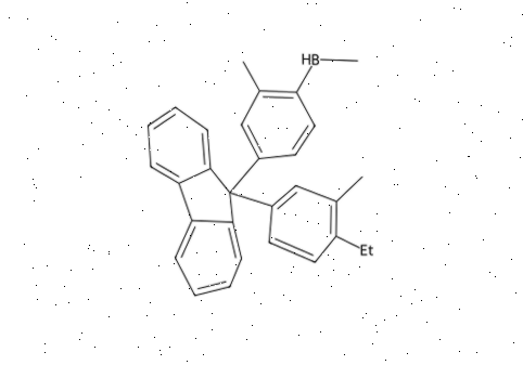 CBc1ccc(C2(c3ccc(CC)c(C)c3)c3ccccc3-c3ccccc32)cc1C